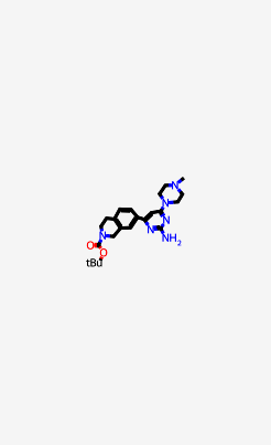 CN1CCN(c2cc(-c3ccc4c(c3)CN(C(=O)OC(C)(C)C)CC4)nc(N)n2)CC1